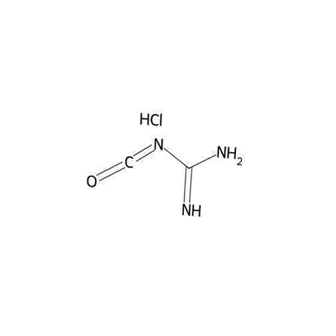 Cl.N=C(N)N=C=O